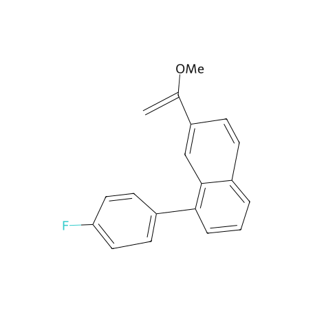 C=C(OC)c1ccc2cccc(-c3ccc(F)cc3)c2c1